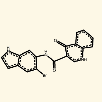 O=C(Nc1cc2[nH]ccc2cc1Br)c1c[nH]c2ccccc2c1=O